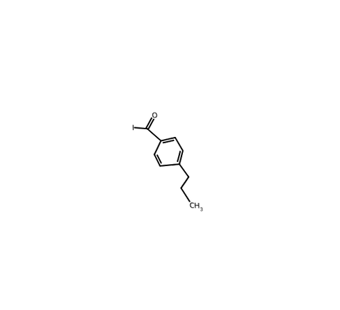 CCCc1ccc(C(=O)I)cc1